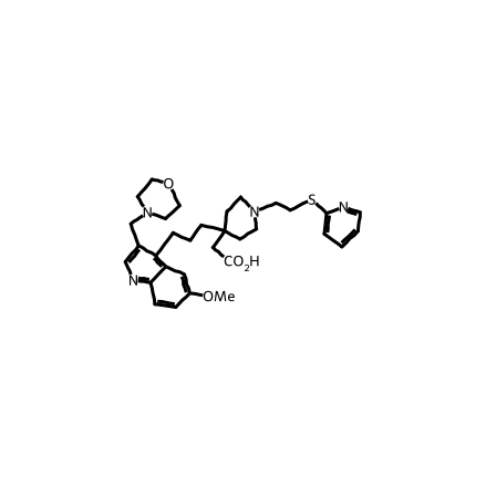 COc1ccc2ncc(CN3CCOCC3)c(CCCC3(CC(=O)O)CCN(CCSc4ccccn4)CC3)c2c1